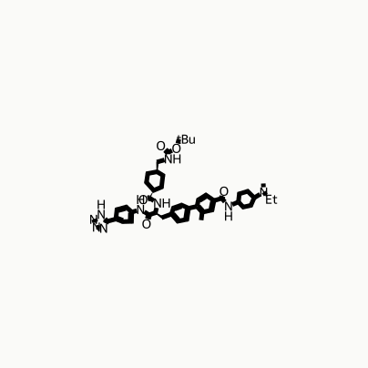 CCN(C)C1CCC(NC(=O)c2ccc(-c3ccc(C[C@H](NC(=O)[C@H]4CC[C@H](CNC(=O)OC(C)(C)C)CC4)C(=O)Nc4ccc(-c5nnn[nH]5)cc4)cc3)c(C)c2)CC1